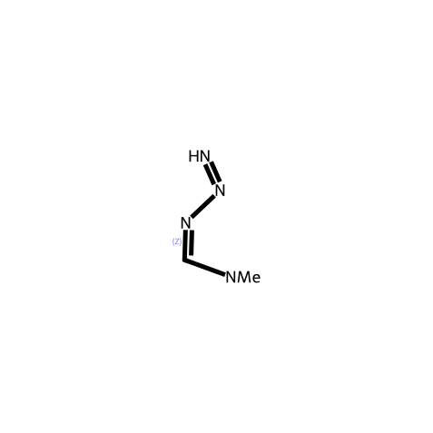 CN/C=N\N=N